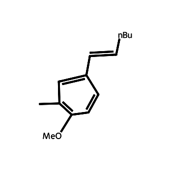 CCCCC=Cc1ccc(OC)c(C)c1